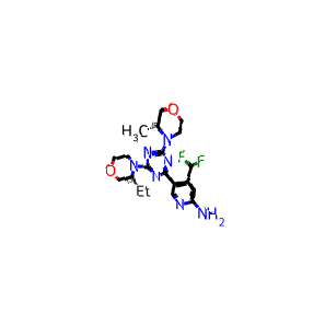 CC[C@H]1COCCN1c1nc(-c2cnc(N)cc2C(F)F)nc(N2CCOC[C@H]2C)n1